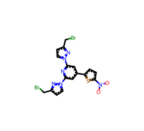 O=[N+]([O-])c1ccc(-c2cc(-n3ccc(CBr)n3)nc(-n3ccc(CBr)n3)c2)s1